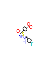 C/N=C(/N[C@@H](C)c1ccc(F)cc1)SC(C)(C=O)c1ccc(C(=O)OC)cc1